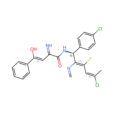 C=N/C(=C(F)\C=C(/C)Cl)[C@@H](NC(=O)C(=N)/C=C(\O)c1ccccc1)c1ccc(Cl)cc1